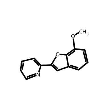 COc1cccc2cc(-c3ccccn3)oc12